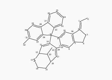 C/C=C1\CCc2ccc(C3(C4=CC5SCCC(C=C4C)C5C)c4ccccc4-c4ccc(C)cc43)cc21